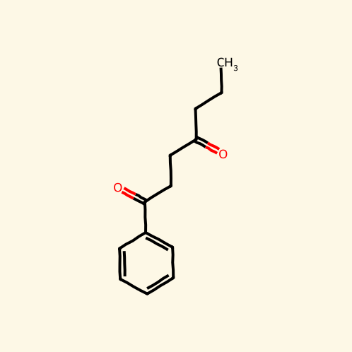 CCCC(=O)CCC(=O)c1ccccc1